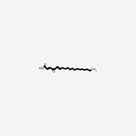 CCCCCCCCCCCCC/C=C/C1=C(/C=C/C(=O)O)O1